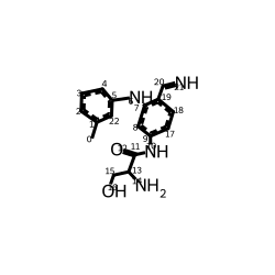 Cc1cccc(Nc2cc(NC(=O)C(N)CO)ccc2C=N)c1